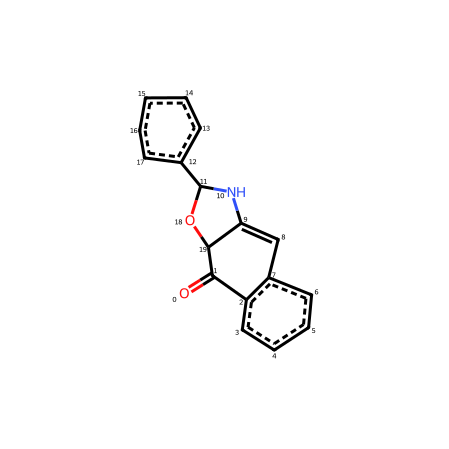 O=C1c2ccccc2C=C2NC(c3ccccc3)OC12